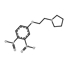 O=[N+]([O-])c1ccc(OCCN2CCCC2)cc1[N+](=O)[O-]